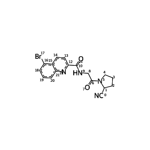 N#CC1CCCN1C(=O)CNC(=O)c1ccc2c(Br)cccc2n1